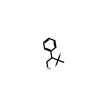 CC(F)(F)C(CO)c1ccccc1